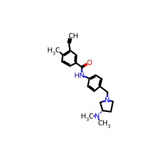 C#Cc1cc(C(=O)Nc2ccc(CN3CC[C@H](N(C)C)C3)cc2)ccc1C